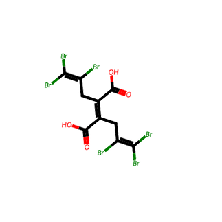 O=C(O)C(CC(Br)=C(Br)Br)=C(CC(Br)=C(Br)Br)C(=O)O